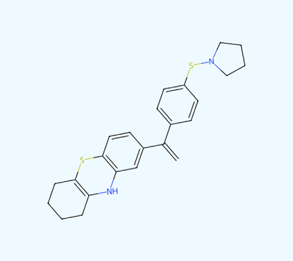 C=C(c1ccc(SN2CCCC2)cc1)c1ccc2c(c1)NC1=C(CCCC1)S2